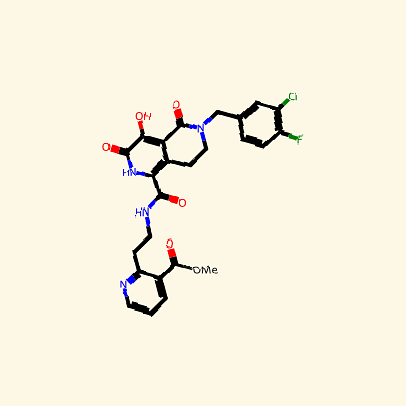 COC(=O)c1cccnc1CCNC(=O)c1[nH]c(=O)c(O)c2c1CCN(Cc1ccc(F)c(Cl)c1)C2=O